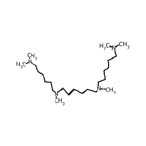 CN(C)CCCCCCN(C)CCCCCCN(C)CCCCCCN(C)C